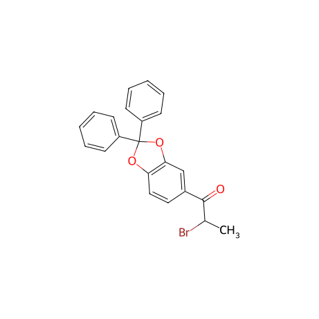 CC(Br)C(=O)c1ccc2c(c1)OC(c1ccccc1)(c1ccccc1)O2